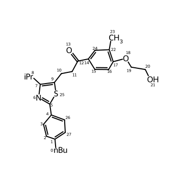 CCCCc1ccc(-c2nc(C(C)C)c(CCC(=O)c3ccc(OCCO)c(C)c3)s2)cc1